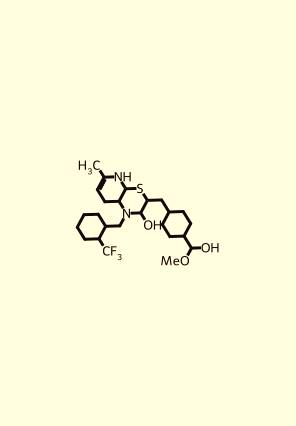 COC(O)C1CCC(CC2SC3NC(C)=CCC3N(CC3CCCCC3C(F)(F)F)C2O)CC1